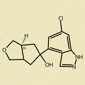 OC1(c2cc(Cl)cc3[nH]ncc23)CC2COC[C@H]2C1